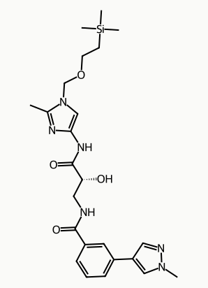 Cc1nc(NC(=O)[C@H](O)CNC(=O)c2cccc(-c3cnn(C)c3)c2)cn1COCC[Si](C)(C)C